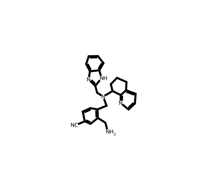 N#Cc1ccc(CN(Cc2nc3ccccc3[nH]2)C2CCCc3cccnc32)c(CN)c1